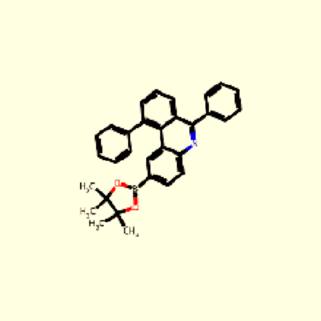 CC1(C)OB(c2ccc3nc(-c4ccccc4)c4cccc(-c5ccccc5)c4c3c2)OC1(C)C